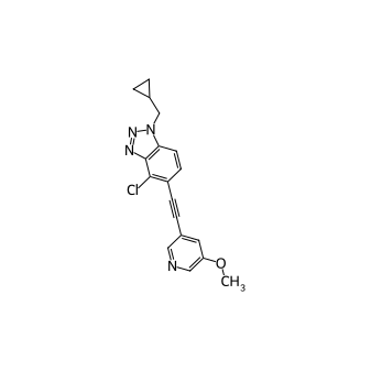 COc1cncc(C#Cc2ccc3c(nnn3CC3CC3)c2Cl)c1